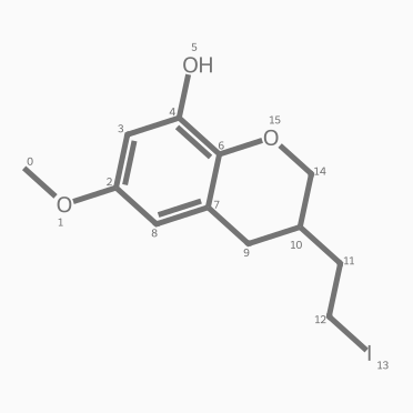 COc1cc(O)c2c(c1)CC(CCI)CO2